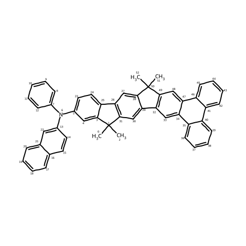 CC1(C)c2cc(N(c3ccccc3)c3ccc4ccccc4c3)ccc2-c2cc3c(cc21)-c1cc2c4ccccc4c4ccccc4c2cc1C3(C)C